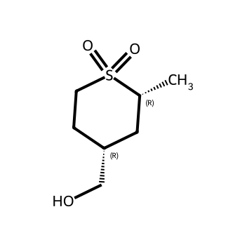 C[C@@H]1C[C@H](CO)CCS1(=O)=O